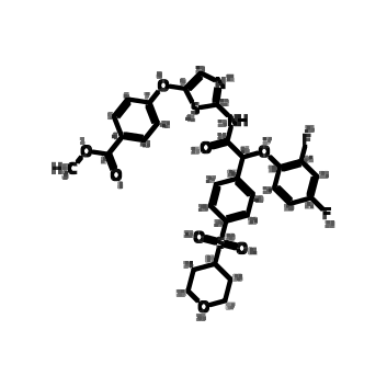 COC(=O)c1ccc(Oc2cnc(NC(=O)C(Oc3ccc(F)cc3F)c3ccc(S(=O)(=O)C4CCOCC4)cc3)s2)cc1